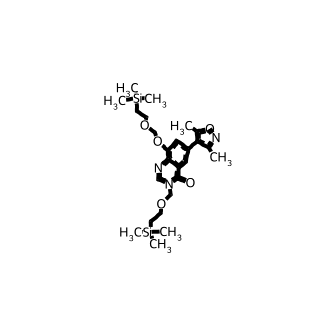 Cc1noc(C)c1-c1cc(OCOCC[Si](C)(C)C)c2ncn(COCC[Si](C)(C)C)c(=O)c2c1